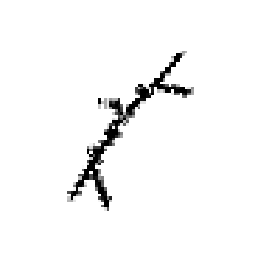 CCCCCCCCC(CCCCCCCC)COC(=O)CCCCCN(CCO)CCN1CC(CCCC(=O)OCC(CCCCCCCC)CCCCCCCC)C1